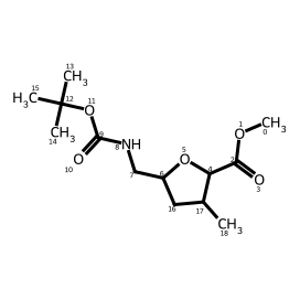 COC(=O)C1OC(CNC(=O)OC(C)(C)C)CC1C